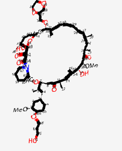 CO[C@@H]1C[C@H](C[C@@H](C)[C@@H]2CC(=O)[C@H](C)/C=C(\C)[C@@H](O)[C@@H](OC)C(=O)[C@H](C)C[C@H](C)/C=C/C=C/C=C(\C)[C@@H](OCC3COCCO3)C[C@@H]3CC[C@@H](C)[C@@](O)(O3)C(=O)C(=O)N3CCCC[C@H]3CO2)CC[C@H]1OCCCO